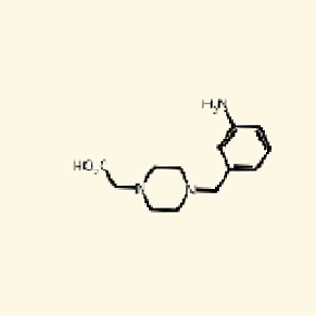 Nc1cccc(CN2CCN(CC(=O)O)CC2)c1